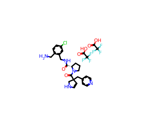 NCc1ccc(Cl)cc1CNC(=O)[C@@H]1CCCN1C(=O)C1(Cc2ccncc2)C=CNC1.O=C(O)C(F)(F)F.O=C(O)C(F)(F)F